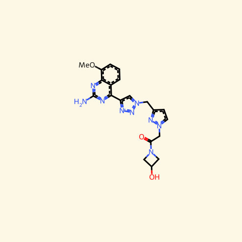 COc1cccc2c(-c3cn(Cc4ccn(CC(=O)N5CC(O)C5)n4)nn3)nc(N)nc12